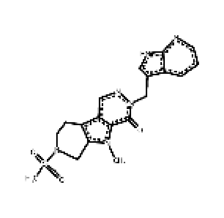 Cn1c2c(c3cnn(Cc4c[nH]c5ncccc45)c(=O)c31)CCN(S(C)(=O)=O)C2